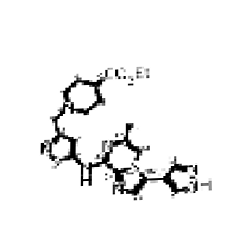 CCOC(=O)C1CCN(Cc2cc(Nc3nc(C)cn4c(-c5cn[nH]c5)cnc34)sn2)CC1